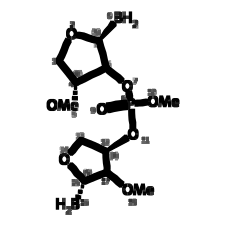 B[C@@H]1OC[C@@H](OC)C1OP(=O)(OC)O[C@@H]1CO[C@@H](B)C1OC